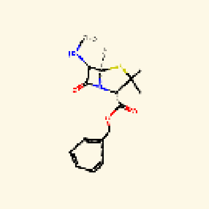 CC1(C)S[C@@H]2[C@H](NC=O)C(=O)N2[C@H]1C(=O)OCc1ccccc1